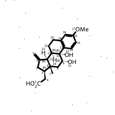 C=C1C[C@H](CC(=O)O)[C@@]2(C)C[C@@H](O)[C@]3(O)c4ccc(OC)cc4CC[C@@H]3[C@H]12